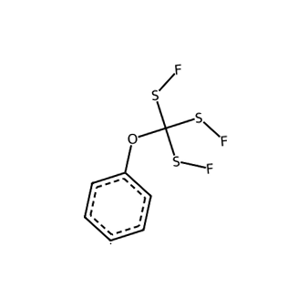 FSC(Oc1cc[c]cc1)(SF)SF